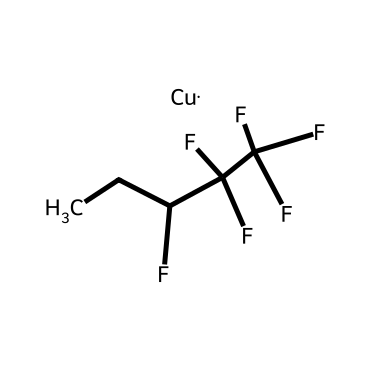 CCC(F)C(F)(F)C(F)(F)F.[Cu]